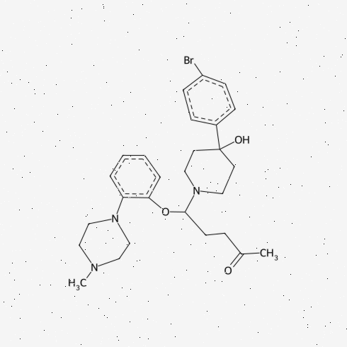 CC(=O)CCC(Oc1ccccc1N1CCN(C)CC1)N1CCC(O)(c2ccc(Br)cc2)CC1